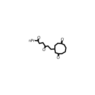 CCCC(=O)CCC(=O)CCC1CCC(=O)CCCCC(=O)C1